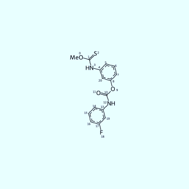 COC(=S)Nc1cccc(OC(=O)Nc2cccc(F)c2)c1